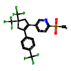 CS(=O)(=O)c1ccc(C2=C(c3ccc(C(F)(F)F)cc3)CC(C(F)(F)F)(C(F)(F)F)C2)cn1